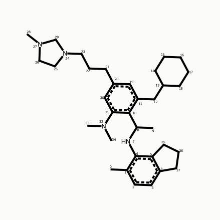 Cc1ccc2c(c1NC(C)c1c(CC3CCCCC3)cc(CCCN3CCN(C)C3)cc1N(C)C)CCC2